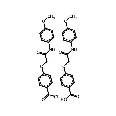 COc1ccc(NC(=O)COc2ccc(C(=O)Cl)cc2)cc1.COc1ccc(NC(=O)COc2ccc(C(=O)O)cc2)cc1